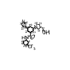 O=C(Nc1ccnc(C(F)(F)F)c1)c1cc(N2CC[C@H](CO)C2)cc(-n2ccnc2)c1